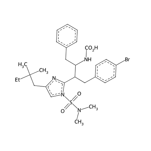 CCC(C)(C)Cc1cn(S(=O)(=O)N(C)C)c(C(Cc2ccc(Br)cc2)C(Cc2ccccc2)NC(=O)O)n1